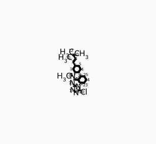 CN(c1cccc(C=CC(C)(C)C)c1)c1nc2nnc(Cl)n2c2ccccc12